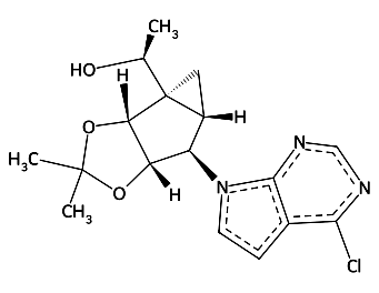 C[C@H](O)[C@@]12C[C@@H]1[C@@H](n1ccc3c(Cl)ncnc31)[C@@H]1OC(C)(C)O[C@@H]12